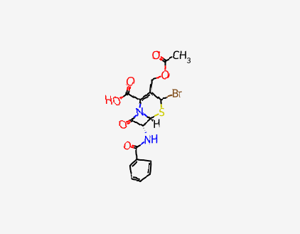 CC(=O)OCC1=C(C(=O)O)N2C(=O)[C@@H](NC(=O)c3ccccc3)[C@H]2SC1Br